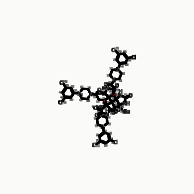 CC(C)(C)OC(=O)C(C1(CCC(=O)N2CCN(c3cc(Cl)cc(Cl)c3)CC2)NC(=O)NC1=O)(C1(CCC(=O)N2CCN(c3cc(Cl)cc(Cl)c3)CC2)NC(=O)NC1=O)C1(CCC(=O)N2CCN(c3cc(Cl)cc(Cl)c3)CC2)NC(=O)NC1=O